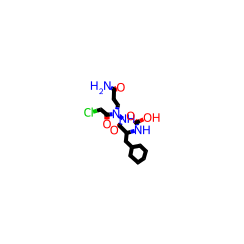 NC(=O)CCN(NC(=O)C(CC1CCCCC1)NC(=O)O)C(=O)CCl